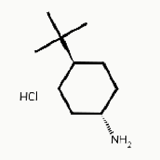 CC(C)(C)[C@H]1CC[C@H](N)CC1.Cl